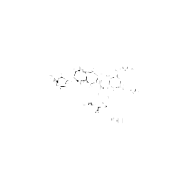 COc1cc(OC)cc(N(CCN(CCO)C(=O)OC(C)(C)C)c2ccc3ncc(-c4cnn(C)c4)nc3c2)c1